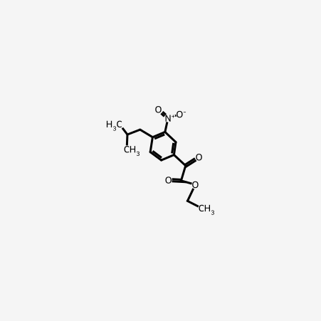 CCOC(=O)C(=O)c1ccc(CC(C)C)c([N+](=O)[O-])c1